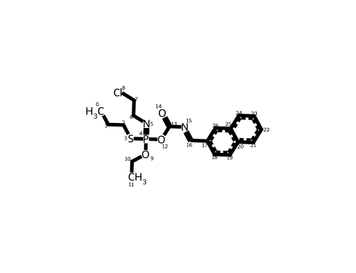 CCCSP(=NCCCl)(OCC)OC(=O)N=Cc1ccc2ccccc2c1